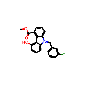 COC(=O)c1cccc2c1c1c(O)cccc1n2Cc1cccc(F)c1